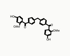 COc1cc(O)ccc1C(=O)c1ccc(Cc2ccc(C(=O)c3ccc(O)cc3OC)cc2)cc1